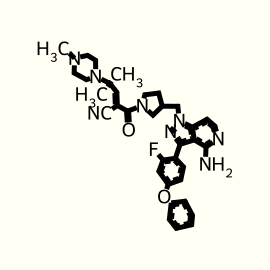 CN1CCN(C(C)(C)C=C(C#N)C(=O)N2CCC(Cn3nc(-c4ccc(Oc5ccccc5)cc4F)c4c(N)nccc43)C2)CC1